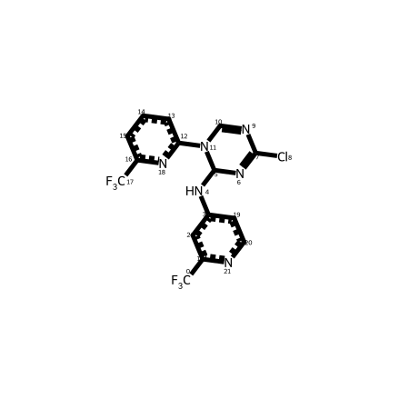 FC(F)(F)c1cc(NC2N=C(Cl)N=CN2c2cccc(C(F)(F)F)n2)ccn1